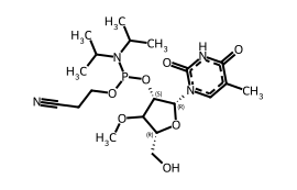 COC1[C@@H](CO)O[C@@H](n2cc(C)c(=O)[nH]c2=O)[C@H]1OP(OCCC#N)N(C(C)C)C(C)C